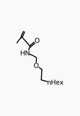 C=C(C)C(=O)NCOCCCCCCCC